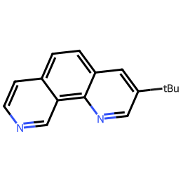 CC(C)(C)c1cnc2c(ccc3ccncc32)c1